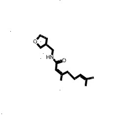 CC(C)=CCCC(C)=CC(=O)NCC1CCOC1